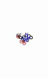 O=c1c(Nc2ccc(OC(F)(F)F)cc2)c(N2CCCC(N3c4ccccc4CCc4ncc(C(F)(F)F)cc43)C2)c1=O